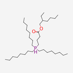 CCCCCCCC[PH](CCCCCCCC)(CCCCCCCC)CCCC(=O)OCC(CC)CCCC